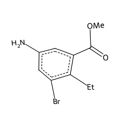 CCc1c(Br)cc(N)cc1C(=O)OC